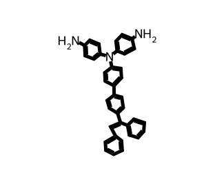 Nc1ccc(N(c2ccc(N)cc2)c2ccc(-c3ccc(C(=Cc4ccccc4)c4ccccc4)cc3)cc2)cc1